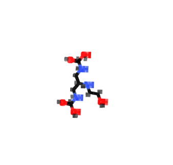 O=C(O)NCC(CNC(=O)O)NCCO